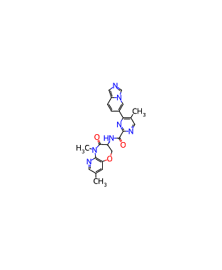 Cc1cnc2c(c1)OC[C@H](NC(=O)c1ncc(C)c(-c3ccc4cncn4c3)n1)C(=O)N2C